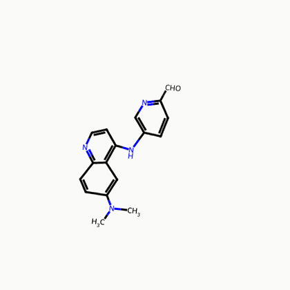 CN(C)c1ccc2nccc(Nc3ccc(C=O)nc3)c2c1